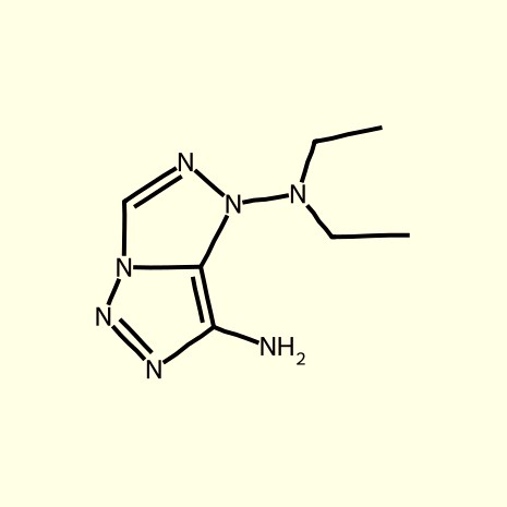 CCN(CC)n1ncn2nnc(N)c12